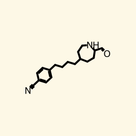 N#Cc1ccc(CCCCC2CCNC(C=O)CC2)cc1